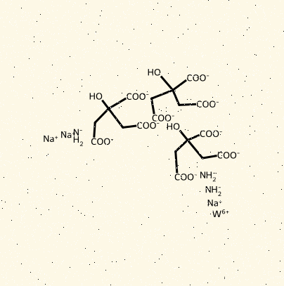 O=C([O-])CC(O)(CC(=O)[O-])C(=O)[O-].O=C([O-])CC(O)(CC(=O)[O-])C(=O)[O-].O=C([O-])CC(O)(CC(=O)[O-])C(=O)[O-].[NH2-].[NH2-].[NH2-].[Na+].[Na+].[Na+].[W+6]